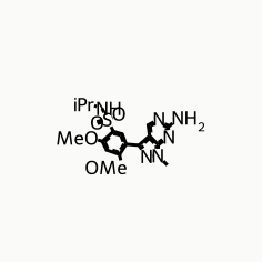 COc1cc(OC)c(S(=O)(=O)NC(C)C)cc1-c1nn(C)c2nc(N)ncc12